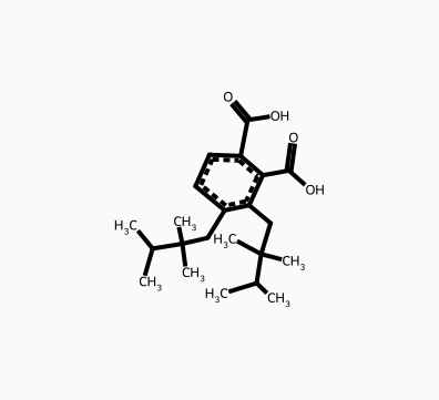 CC(C)C(C)(C)Cc1ccc(C(=O)O)c(C(=O)O)c1CC(C)(C)C(C)C